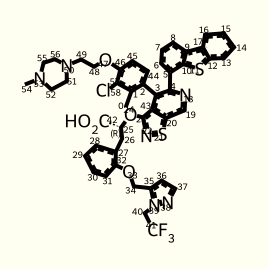 Cc1c(-c2c(-c3cccc4c3sc3ccccc34)ncc3snc(O[C@H](Cc4ccccc4OCc4ccnn4CC(F)(F)F)C(=O)O)c23)ccc(OCCN2CCN(C)CC2)c1Cl